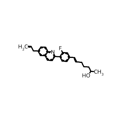 C=CCc1ccc2nc(-c3ccc(/C=C/CCCC(C)O)cc3F)ccc2c1